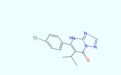 CC(C)c1c(-c2ccc(Cl)cc2)[nH]c2ncnn2c1=O